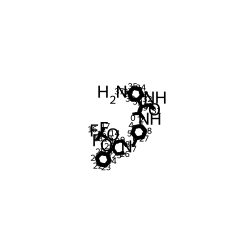 C/C(Nc1ccc(CN2CCC(OC(=O)C(F)(F)F)(c3ccccc3)CC2)cc1)=C1/C(=O)Nc2ccc(N)cc21